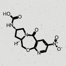 O=C(O)N[C@@H]1C[C@@H]2COc3ncc([N+](=O)[O-])cc3C(=O)N2C1